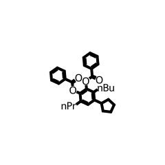 CCCCc1c(C2CCCC2)cc(CCC)c(OC(=O)c2ccccc2)c1OC(=O)c1ccccc1